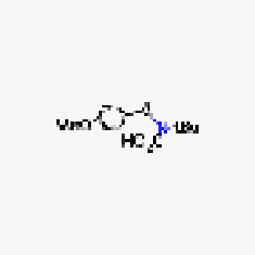 COc1ccc(C2CC2N(C(=O)O)C(C)(C)C)cc1